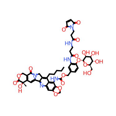 CCCCCc1c2c(nc3cc4c(c(NC(=O)OCc5ccc(O[C@H]6O[C@H](CO)[C@@H](O)[C@H](O)[C@@H]6O)c(NC(=O)CCNC(=O)CCN6C(=O)C=CC6=O)c5)c13)OCO4)-c1cc3c(c(=O)n1C2)COC(=O)[C@@]3(C)O